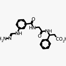 NN=CNc1cccc(C(=O)NCC(=O)NC(CC(=O)O)c2ccccc2)c1